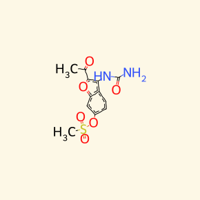 CC(=O)c1oc2cc(OS(C)(=O)=O)ccc2c1NC(N)=O